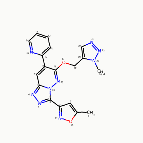 Cc1cc(-c2nnc3cc(-c4ccccn4)c(OCc4cnnn4C)nn23)no1